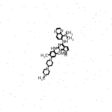 COc1cc(N2CCC(N3CCN(C)CC3)CC2)c(C)cc1Nc1nc(Nc2ccc3nccnc3c2N(C)C)c2cc[nH]c2n1